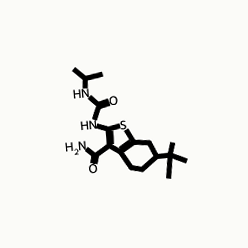 CC(C)NC(=O)Nc1sc2c(c1C(N)=O)CCC(C(C)(C)C)C2